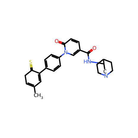 CC1=CCC(=S)C(c2ccc(-n3cc(C(=O)NC4CN5CCC4CC5)ccc3=O)cc2)=C1